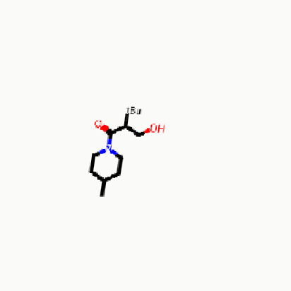 CC1CCN(C(=O)C(CO)C(C)(C)C)CC1